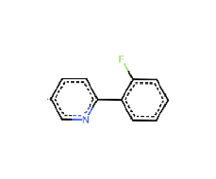 Fc1ccccc1-c1cc[c]cn1